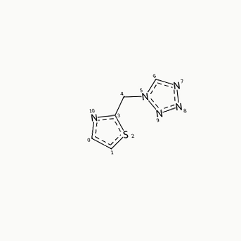 c1csc(Cn2cnnn2)n1